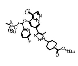 Cc1c(-c2cc(OC(CO[Si](C)(C)C(C)(C)C)c3ccc(F)cn3)c3c(Cl)cnn3c2)nnn1C1CCN(C(=O)OC(C)(C)C)CC1